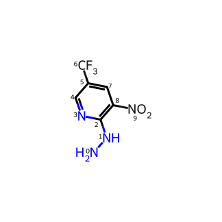 NNc1ncc(C(F)(F)F)cc1[N+](=O)[O-]